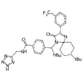 CCCCC(c1ccc(C(=O)NCc2nn[nH]n2)cc1)N1C(=O)C(c2cccc(C(F)(F)F)c2)=NC12CCC(C(C)(C)C)CC2